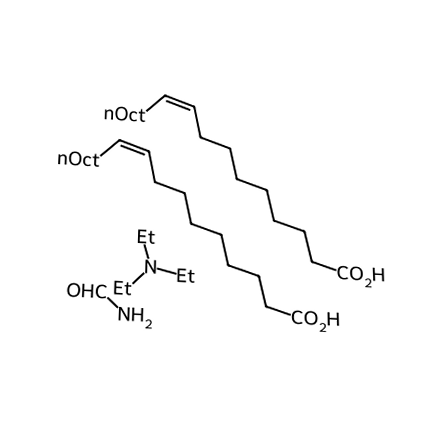 CCCCCCCC/C=C\CCCCCCCC(=O)O.CCCCCCCC/C=C\CCCCCCCC(=O)O.CCN(CC)CC.NC=O